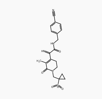 CC1=C(C(=N)C(=O)NCc2ccc(C#N)cc2)CCN(CC2([SH](=O)=O)CC2)C1=O